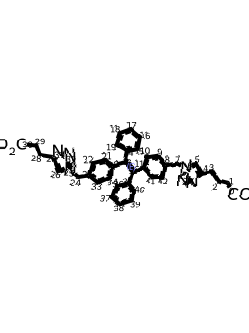 O=C(O)CCCc1cn(Cc2ccc(/C(=C(\c3ccccc3)c3ccc(Cn4cc(CCC(=O)O)nn4)cc3)c3ccccc3)cc2)nn1